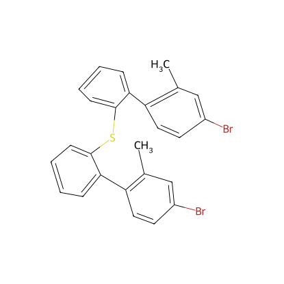 Cc1cc(Br)ccc1-c1ccccc1Sc1ccccc1-c1ccc(Br)cc1C